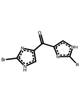 O=C(c1c[nH]c(Br)n1)c1c[nH]c(Br)n1